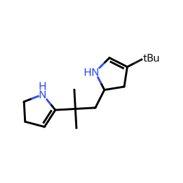 CC(C)(C)C1=CNC(CC(C)(C)C2=CCCN2)C1